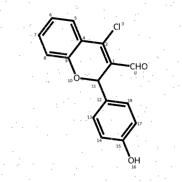 O=CC1=C(Cl)c2ccccc2OC1c1ccc(O)cc1